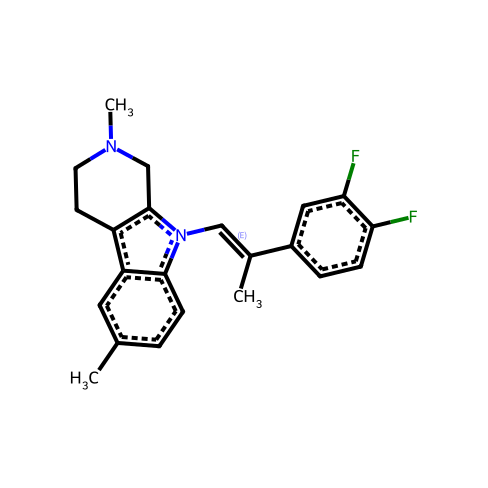 C/C(=C\n1c2c(c3cc(C)ccc31)CCN(C)C2)c1ccc(F)c(F)c1